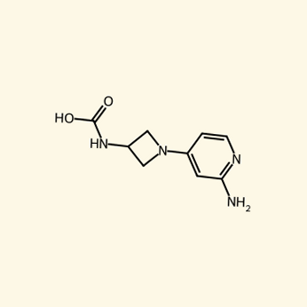 Nc1cc(N2CC(NC(=O)O)C2)ccn1